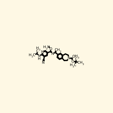 C=C(/N=C(\ON)c1cnc(NC(C)C)c(C#N)c1)c1ccc2c(c1)CCN(C(=O)OC(C)(C)C)CC2